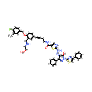 O=C(NCCC#Cc1ccc(OCc2ccc(F)c(C(F)(F)F)c2)c(CNCCO)c1)c1cnc(NN=C2C(=O)N(c3nc(-c4ccccc4)cs3)N=C2c2ccccc2)s1